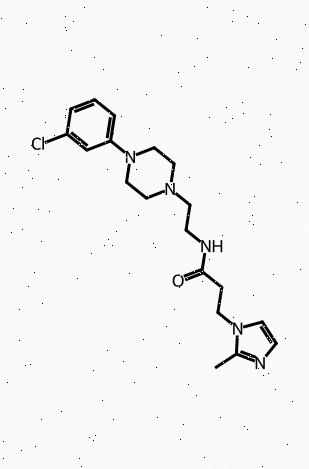 Cc1nccn1CCC(=O)NCCN1CCN(c2cccc(Cl)c2)CC1